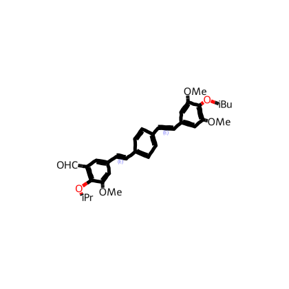 CCC(C)Oc1c(OC)cc(/C=C/c2ccc(/C=C/c3cc(C=O)c(OC(C)C)c(OC)c3)cc2)cc1OC